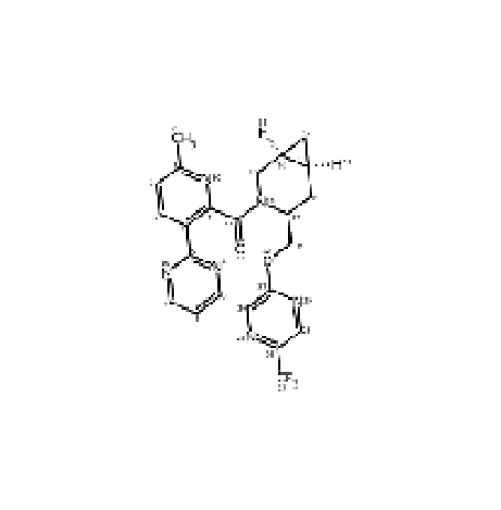 Cc1ccc(-c2ncccn2)c(C(=O)N2C[C@H]3C[C@H]3C[C@H]2COc2cnc(C(F)(F)F)cn2)n1